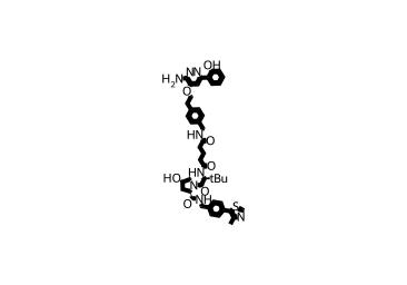 Cc1ncsc1-c1ccc(CNC(=O)[C@@H]2C[C@@H](O)CN2C(=O)[C@@H](NC(=O)CCCC(=O)NCc2ccc(CCOc3cc(-c4ccccc4O)nnc3N)cc2)C(C)(C)C)cc1